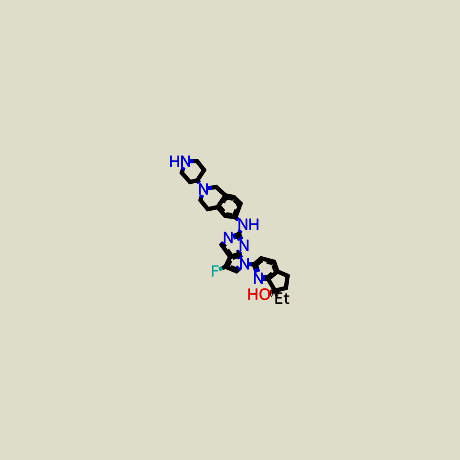 CC[C@@]1(O)CCc2ccc(-n3cc(F)c4cnc(Nc5ccc6c(c5)CCN(C5CCNCC5)C6)nc43)nc21